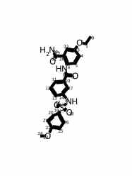 CCOc1ccc(NC(=O)c2cccc(NS(=O)(=O)c3ccc(OC)cc3)c2)c(C(N)=O)c1